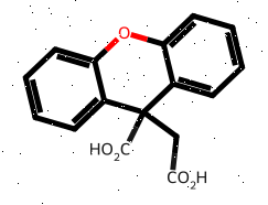 O=C(O)CC1(C(=O)O)c2ccccc2Oc2ccccc21